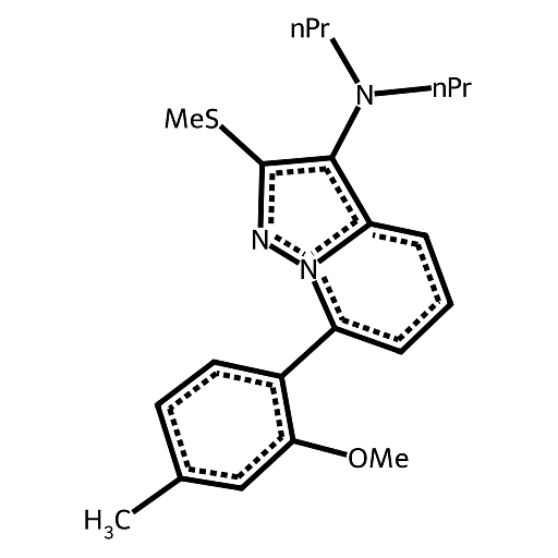 CCCN(CCC)c1c(SC)nn2c(-c3ccc(C)cc3OC)cccc12